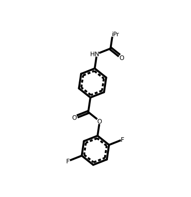 CC(C)C(=O)Nc1ccc(C(=O)Oc2cc(F)ccc2F)cc1